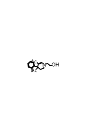 CC(=O)C1=CN(CCO)CCC1(C(C)=O)c1ccccc1C